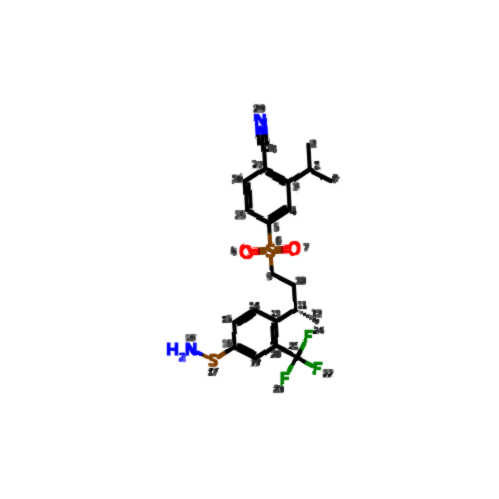 CC(C)c1cc(S(=O)(=O)CC[C@H](C)c2ccc(SN)cc2C(F)(F)F)ccc1C#N